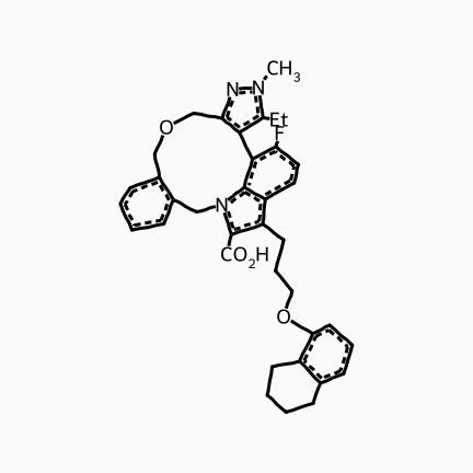 CCc1c2c(nn1C)COCc1ccccc1Cn1c(C(=O)O)c(CCCOc3cccc4c3CCCC4)c3ccc(F)c-2c31